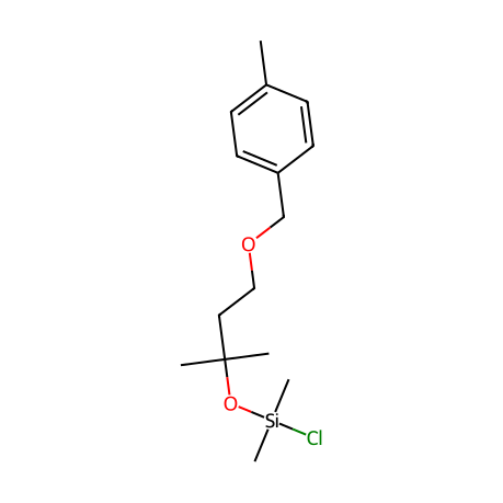 Cc1ccc(COCCC(C)(C)O[Si](C)(C)Cl)cc1